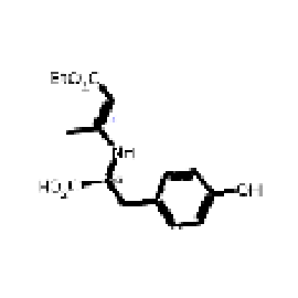 CCOC(=O)/C=C(\C)N[C@@H](Cc1ccc(O)cc1)C(=O)O